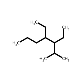 [CH2]C(C)C(CC)C(CC)CCC